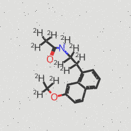 [2H]N(C(=O)C([2H])([2H])[2H])C([2H])([2H])C([2H])([2H])c1cccc2ccc(OC([2H])([2H])[2H])cc12